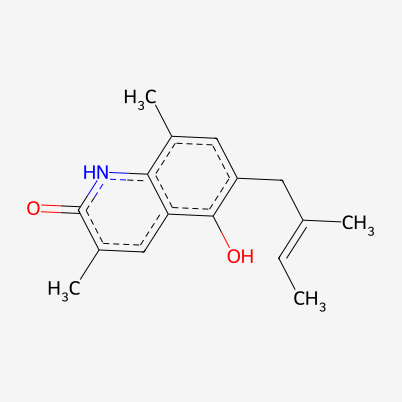 CC=C(C)Cc1cc(C)c2[nH]c(=O)c(C)cc2c1O